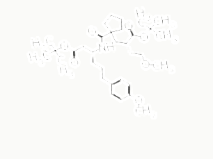 COCC[C@H](CC1(C(=O)N[C@@H](CCCc2ccc(OC)cc2)CC(=O)OC(C)(C)C)CCCC1)C(=O)OC(C)(C)C